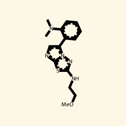 COCCNc1nn2c(-c3ccccc3N(C)C)cnc2s1